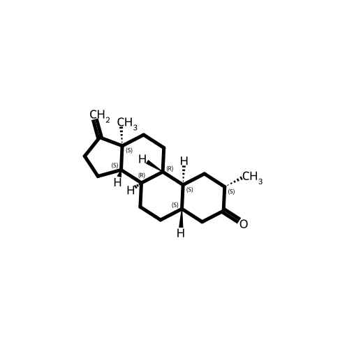 C=C1CC[C@H]2[C@@H]3CC[C@H]4CC(=O)[C@@H](C)C[C@@H]4[C@H]3CC[C@]12C